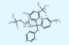 Bc1ccc(C(Cc2ccccc2)(NC(=O)NCC(F)(F)F)c2cc(F)cc(C(F)(F)F)c2)nc1